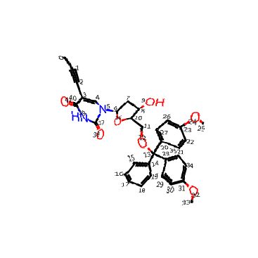 CC#Cc1cn([C@H]2C[C@@H](O)C(COC(c3ccccc3)(c3ccc(OC)cc3)c3ccc(OC)cc3)O2)c(=O)[nH]c1=O